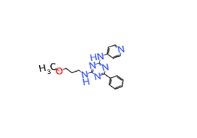 COCCCNc1nc(Nc2ccncc2)nc(-c2ccccc2)n1